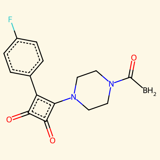 BC(=O)N1CCN(c2c(-c3ccc(F)cc3)c(=O)c2=O)CC1